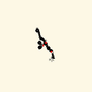 C=CC(=O)OCCCOc1ccc(-c2ccc(COc3ccc(OC(=O)c4ccc5cc(OCCCOCC6CCC7OC7C6)ccc5c4)c(/C=N/N(Cc4ccccc4)C4=NC5=CC=CCC5S4)c3)cc2)cc1